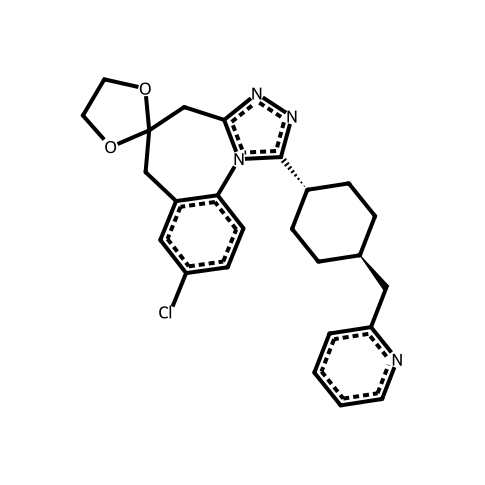 Clc1ccc2c(c1)CC1(Cc3nnc([C@H]4CC[C@H](Cc5ccccn5)CC4)n3-2)OCCO1